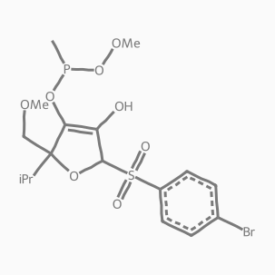 COCC1(C(C)C)OC(S(=O)(=O)c2ccc(Br)cc2)C(O)=C1OP(C)OOC